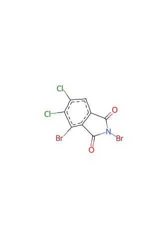 O=C1c2cc(Cl)c(Cl)c(Br)c2C(=O)N1Br